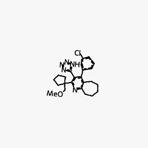 COCC1(c2nc3c(c(-c4cccc(Cl)c4)c2-c2nnn[nH]2)CCCCC3)CCCC1